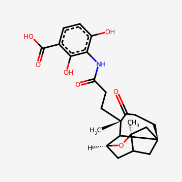 C[C@]12C[C@@]34CCC(=O)[C@@](C)(CCC(=O)Nc5c(O)ccc(C(=O)O)c5O)C3[C@H](CC1C4)O2